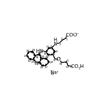 O=C([O-])CCCNc1cc(COCCCC(=O)O)cc(Nc2c3ccccc3nc3ccccc23)c1.[Na+]